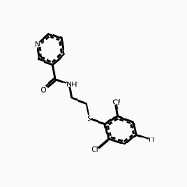 O=C(NCCSc1c(Cl)cc(Cl)cc1Cl)c1cccnc1